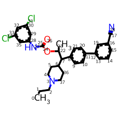 CCCN1CCC(C(c2ccc(-c3cccc(C#N)c3)cc2)C(C)OC(=O)Nc2cc(Cl)cc(Cl)c2)CC1